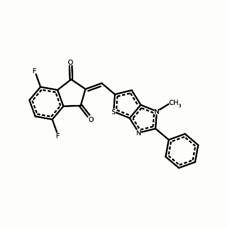 Cn1c(-c2ccccc2)nc2sc(C=C3C(=O)c4c(F)ccc(F)c4C3=O)cc21